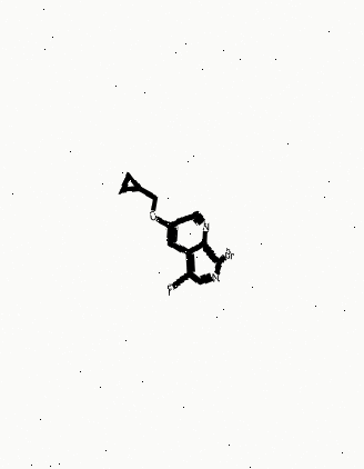 Fc1cnc(Br)c2ncc(OCC3CC3)cc12